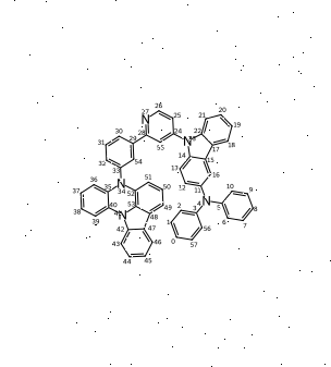 c1ccc(N(c2ccccc2)c2ccc3c(c2)c2ccccc2n3-c2ccnc(-c3cccc(N4c5ccccc5-n5c6ccccc6c6cccc4c65)c3)c2)cc1